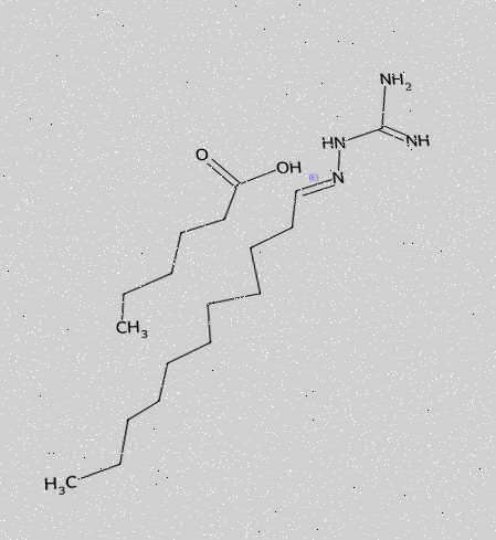 CCCCCC(=O)O.CCCCCCCCCC/C=N/NC(=N)N